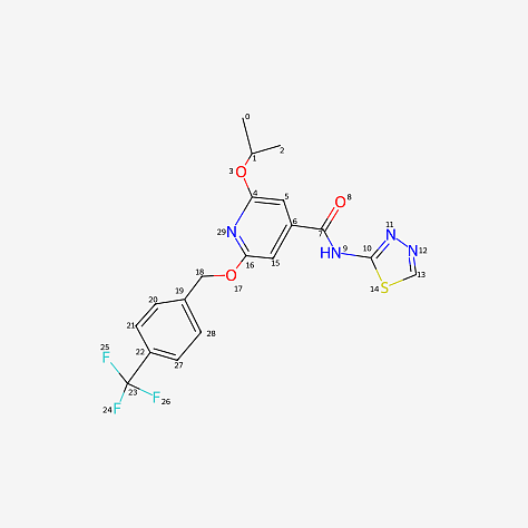 CC(C)Oc1cc(C(=O)Nc2nncs2)cc(OCc2ccc(C(F)(F)F)cc2)n1